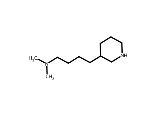 CN(C)CCCCC1CCCNC1